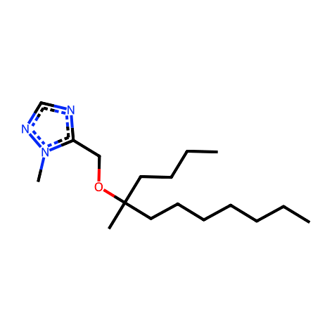 CCCCCCCC(C)(CCCC)OCc1ncnn1C